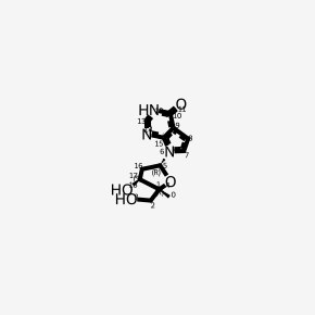 C[C@]1(CO)O[C@@H](n2ccc3c(=O)[nH]cnc32)C[C@@H]1O